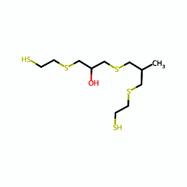 CC(CSCCS)CSCC(O)CSCCS